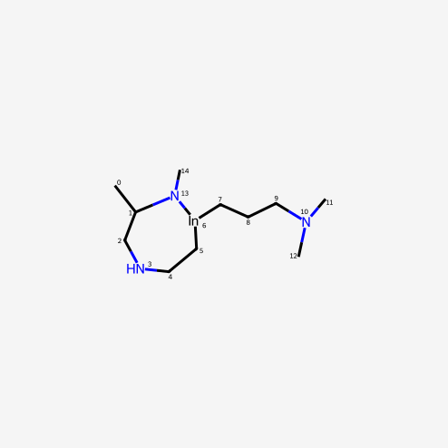 CC1CNC[CH2][In]([CH2]CCN(C)C)[N]1C